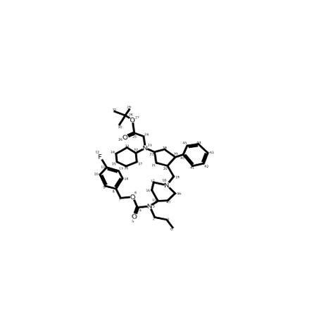 CCCN(C(=O)OCc1ccc(F)cc1)C1CCN(CC2CC(N(CC(=O)OC(C)(C)C)C3CCCCC3)CC2c2ccccc2)CC1